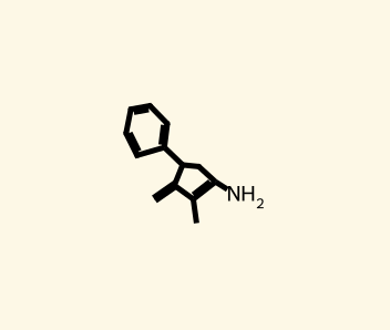 C=C1C(C)=C(N)CC1c1ccccc1